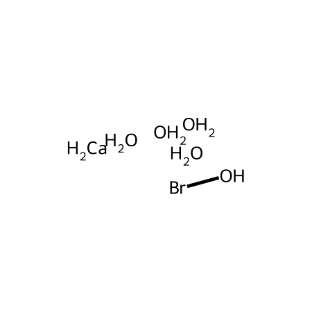 O.O.O.O.OBr.[CaH2]